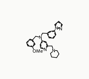 COc1cccc(CN(Cc2cccc(-n3cccn3)c2)c2ccnc(CN3CCCCC3)c2)c1